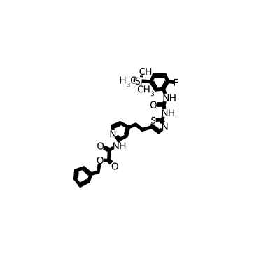 C[Si](C)(C)c1ccc(F)c(NC(=O)Nc2ncc(CCc3ccnc(NC(=O)C(=O)OCc4ccccc4)c3)s2)c1